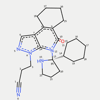 N#CCCn1ncc2c3c(c(=O)n([C@@]4(C5CCCCC5)CCCN4)c21)CCCC3